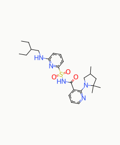 CCC(CC)CNc1cccc(S(=O)(=O)NC(=O)c2cccnc2N2CC(C)CC2(C)C)n1